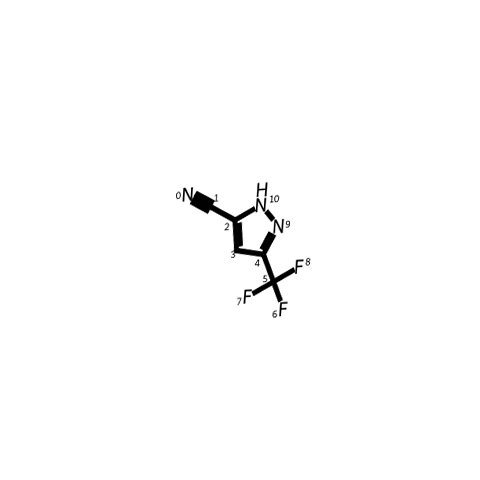 N#Cc1cc(C(F)(F)F)n[nH]1